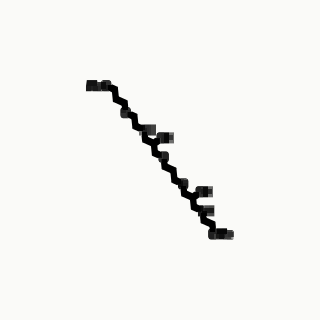 COCCCOCCNCC(O)COCCCOCC(O)CNCCOC